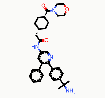 CC(C)(N)c1ccc(-c2ncc(NC(=O)C[C@H]3CC[C@H](C(=O)N4CCOCC4)CC3)cc2-c2ccccc2)cc1